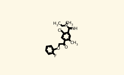 CCN(C)C(=N)c1cc(C)c(C(=O)COc2ccccc2F)cc1Cl